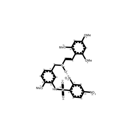 COc1cc(OC)c(C=C[S+]([O-])Cc2ccc(OC)c(NS(=O)(=O)c3ccc([N+](=O)[O-])cc3[N+](=O)[O-])c2)c(OC)c1